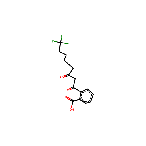 O=C(CCCCC(F)(F)F)CC(=O)c1ccccc1C(=O)O